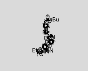 CCN(C)S(=O)(=O)Nc1ccc(F)c(Oc2ccc3ncn(-c4cnn(C5CCN(CC(=O)OC(C)(C)C)CC5)c4)c(=O)c3c2)c1C#N